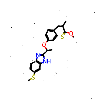 COC(=S)C(C)Cc1ccc(OC(C)c2nc3ccc(SC)cc3[nH]2)cc1